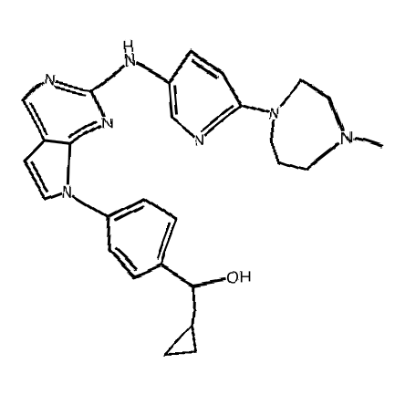 CN1CCN(c2ccc(Nc3ncc4ccn(-c5ccc(C(O)C6CC6)cc5)c4n3)cn2)CC1